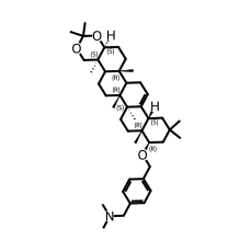 CN(C)Cc1ccc(CO[C@@H]2CC(C)(C)C[C@H]3C4=CCC5[C@@]6(C)CC[C@@H]7OC(C)(C)OC[C@]7(C)C6CC[C@@]5(C)[C@]4(C)CC[C@@]23C)cc1